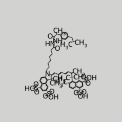 C=C(/C=C/C=C/C=C1/N(CCCCCCCC(=O)NNC(=O)C(C)c2ccc(CC(C)C)cc2)c2ccc3c(S(=O)(=O)O)cc(S(=O)(=O)O)cc3c2C1(C)C)C(C)(C)c1c(C)ccc2c(S(=O)(=O)O)cc(S(=O)(=O)O)cc12